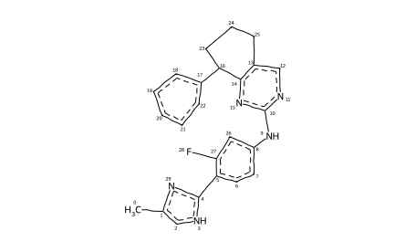 Cc1c[nH]c(-c2ccc(Nc3ncc4c(n3)C(c3ccccc3)CCC4)cc2F)n1